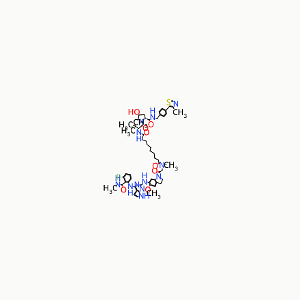 CNC(=O)c1c(F)cccc1Nc1nc(Nc2cc3c(cc2OC)CCN3C(=O)CN(C)C(=O)CCCCCCCCC(=O)NC(C(=O)N2C[C@H](O)C[C@H]2C(=O)NCc2ccc(-c3scnc3C)cc2)C(C)(C)C)nc2[nH]ccc12